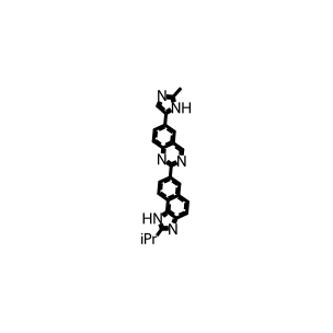 Cc1ncc(-c2ccc3nc(-c4ccc5c(ccc6nc(C(C)C)[nH]c65)c4)ncc3c2)[nH]1